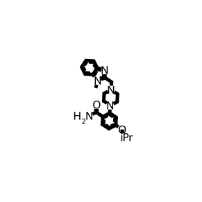 CC(C)Oc1ccc(C(N)=O)c(N2CCN(Cc3nc4ccccc4n3C)CC2)c1